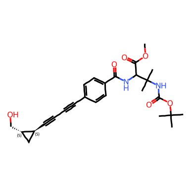 COC(=O)C(NC(=O)c1ccc(C#CC#C[C@H]2C[C@@H]2CO)cc1)C(C)(C)NC(=O)OC(C)(C)C